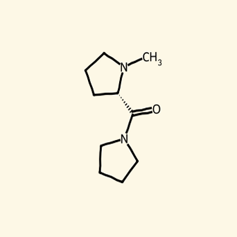 CN1CCC[C@H]1C(=O)N1CCCC1